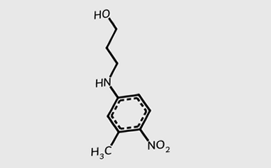 Cc1cc(NCCCO)ccc1[N+](=O)[O-]